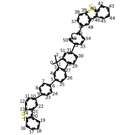 CC1(C)c2cc(-c3ccc(-c4ccc5sc6ccccc6c5c4)cc3)ccc2-c2ccc(-c3ccc(-c4ccc5sc6ccccc6c5c4)cc3)cc21